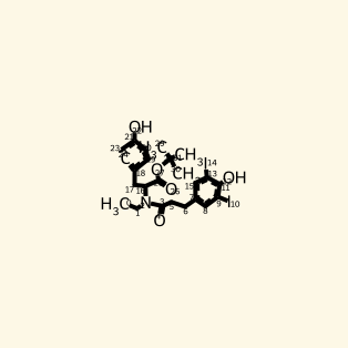 CCN(C(=O)CCc1cc(I)c(O)c(I)c1)C(Cc1ccc(O)cc1)C(=O)OC(C)(C)C